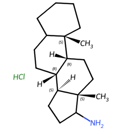 C[C@]12CCCCC1CC[C@@H]1[C@H]2CC[C@]2(C)C(N)CC[C@@H]12.Cl